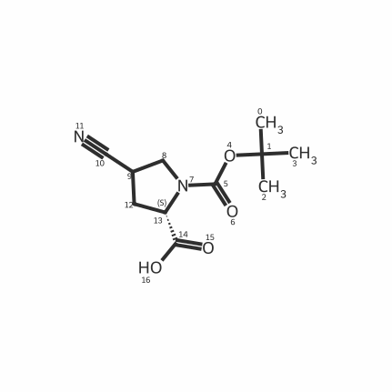 CC(C)(C)OC(=O)N1CC(C#N)C[C@H]1C(=O)O